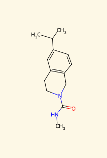 CNC(=O)N1CCc2cc(C(C)C)ccc2C1